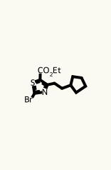 CCOC(=O)c1sc(Br)nc1CCC1CCCC1